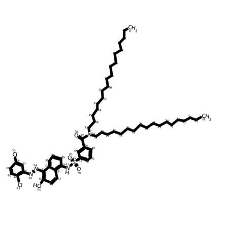 CCCCCCCCCCCCCCCCCCN(CCCCCCCCCCCCCCCCCC)C(=O)c1cccc(S(=O)(=O)Nc2cccc3c(N=Nc4cc(Cl)ccc4Cl)c(O)ccc23)c1